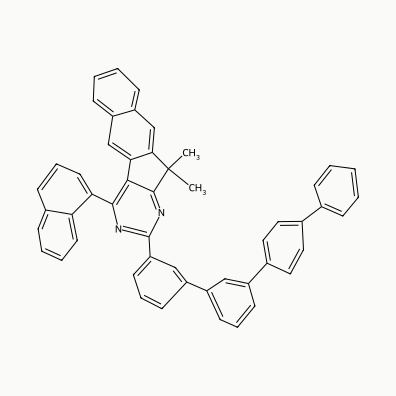 CC1(C)c2cc3ccccc3cc2-c2c(-c3cccc4ccccc34)nc(-c3cccc(-c4cccc(-c5ccc(-c6ccccc6)cc5)c4)c3)nc21